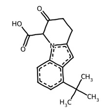 CC(C)(C)c1cccc2c1cc1n2C(C(=O)O)C(=O)CC1